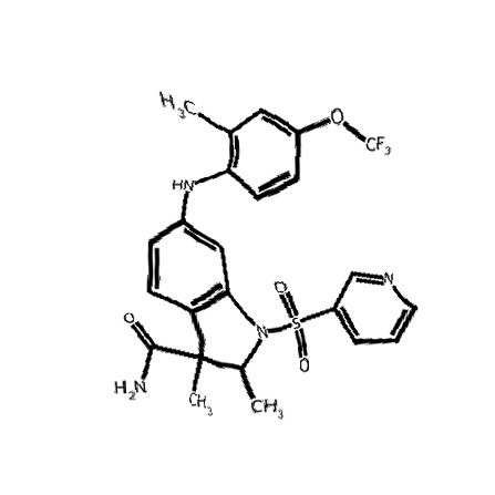 Cc1cc(OC(F)(F)F)ccc1Nc1ccc2c(c1)N(S(=O)(=O)c1cccnc1)C(C)C2(C)C(N)=O